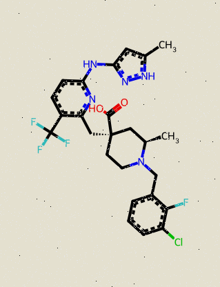 Cc1cc(Nc2ccc(C(F)(F)F)c(C[C@@]3(C(=O)O)CCN(Cc4cccc(Cl)c4F)[C@H](C)C3)n2)n[nH]1